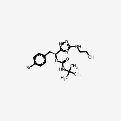 CC(C)(C)NC(=O)O[C@@H](Cc1ccc(Br)cc1)c1noc(NCCO)n1